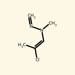 C=NN(C)/C=C(\C)Cl